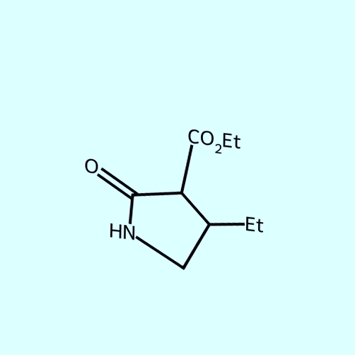 CCOC(=O)C1C(=O)NCC1CC